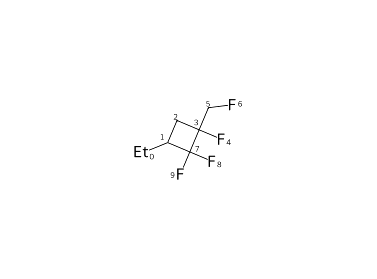 CCC1CC(F)(CF)C1(F)F